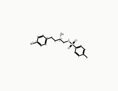 Cc1ccc(S(=O)(=O)OC[C@@H](O)CCc2ccc(Br)cc2)cc1